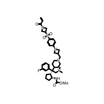 C=CC(=O)N1CC(S(=O)(=O)c2ccc(N3CC(CN4CCC(C(CN(C)C)(c5cccc(F)c5)[C@H]5CCC[C@@H]5NC(=O)OC)CC4)C3)cc2)C1